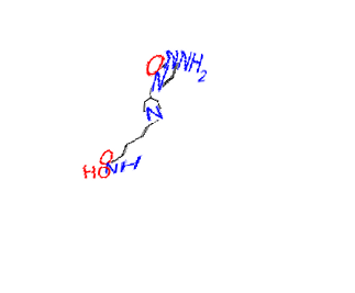 Nc1ccn(CC2CCN(CCCCCC(=O)NO)CC2)c(=O)n1